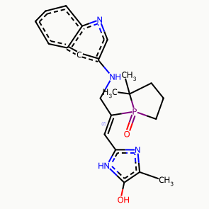 Cc1nc(/C=C(/CNc2cnc3ccccc3c2)P2(=O)CCCC2(C)C)[nH]c1O